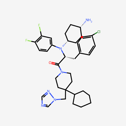 N[C@H]1CC[C@@H](N(c2ccc(F)c(F)c2)[C@H](Cc2ccc(Cl)cc2)C(=O)N2CCC(Cn3cncn3)(C3CCCCC3)CC2)CC1